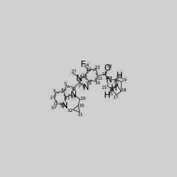 Cc1ccc2cc(-c3nc4cc(C(=O)N5C[C@H]6CC7C[C@@H]5[C@H]76)cc(F)c4n3C)n(CC3CC3)c2n1